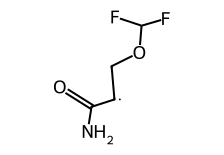 NC(=O)[CH]COC(F)F